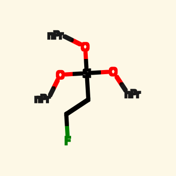 CCCO[Si](CCF)(OCCC)OCCC